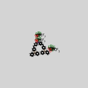 O=S(=O)([O-])C(F)(F)C(F)(F)C(F)(F)C(F)(F)F.O=S(=O)([O-])C(F)(F)C(F)(F)C(F)(F)C(F)(F)F.O=S(=O)([O-])C(F)(F)C(F)(F)C(F)(F)C(F)(F)F.c1ccc([S+](c2ccccc2)c2ccc(Cc3ccc([I+]c4ccc(Cc5ccc([S+](c6ccccc6)c6ccccc6)cc5)cc4)cc3)cc2)cc1